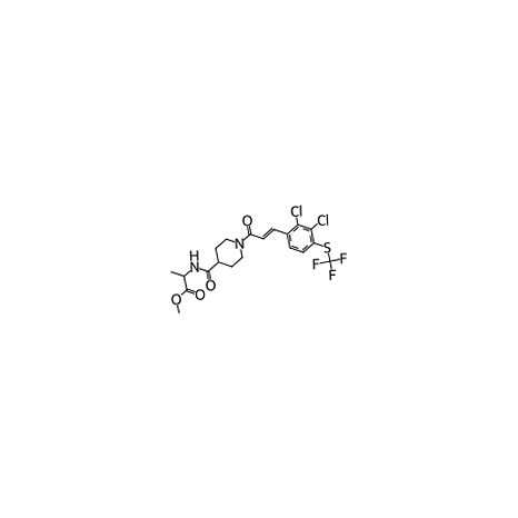 COC(=O)C(C)NC(=O)C1CCN(C(=O)/C=C/c2ccc(SC(F)(F)F)c(Cl)c2Cl)CC1